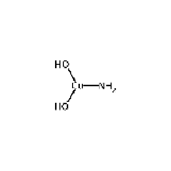 [NH2][Cu]([OH])[OH]